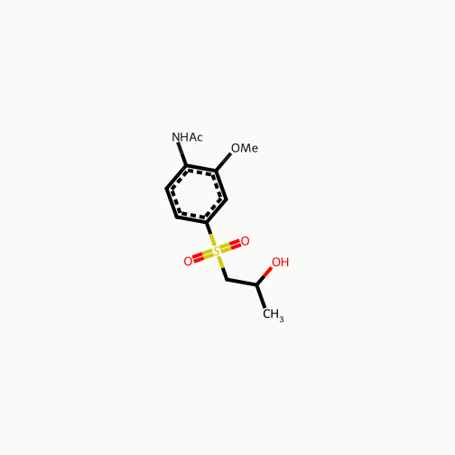 COc1cc(S(=O)(=O)CC(C)O)ccc1NC(C)=O